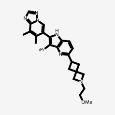 COCCN1CC2(CC(c3ccc4[nH]c(-c5cn6ncnc6c(C)c5C)c(C(C)C)c4n3)C2)C1